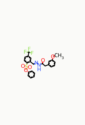 COc1cccc(CC(=O)N/N=C/c2cc(C(F)(F)F)ccc2S(=O)(=O)Oc2ccccc2)c1